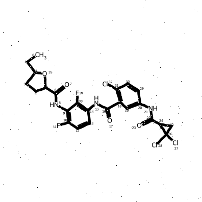 CCC1CCC(C(=O)Nc2c(F)ccc(NC(=O)c3cc(NC(=O)C4CC4(Cl)Cl)ccc3Cl)c2F)O1